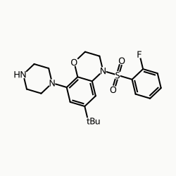 CC(C)(C)c1cc(N2CCNCC2)c2c(c1)N(S(=O)(=O)c1ccccc1F)CCO2